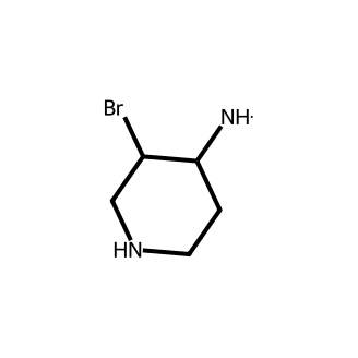 [NH]C1CCNCC1Br